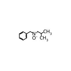 CC(C)C=[N+]([O-])Cc1ccccc1